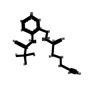 CC(C)(C)C(=O)Nc1ccncc1CNC(=S)SCCC#N